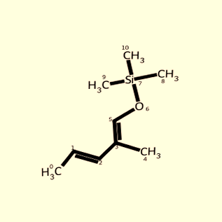 CC=CC(C)=CO[Si](C)(C)C